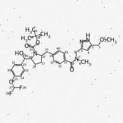 COCc1cc(CN(C)C(=O)c2ccc(CC3CCC(C(O)c4ccc(OC(F)F)cc4)N3C(=O)OC(C)(C)C)cc2)n[nH]1